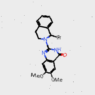 COc1cc2nc(N3CCc4ccccc4C3C(C)C)[nH]c(=O)c2cc1OC